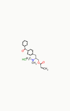 C=CC(=O)OCC(Cc1ccc(C(=O)c2ccccc2)cc1)N(C)C.Cl